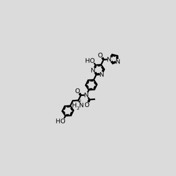 CC(=O)N(C(=O)[C@@H](N)Cc1ccc(O)cc1)c1ccc(-c2ncc(C(=O)n3ccnc3)c(O)n2)cc1